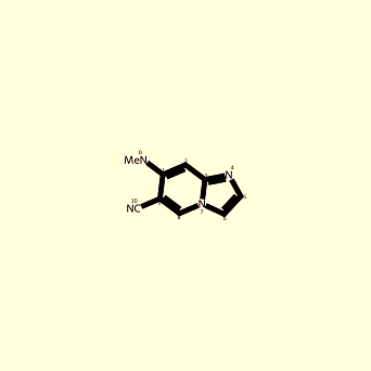 CNc1cc2nccn2cc1C#N